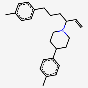 C=CC(CCCc1ccc(C)cc1)N1CCC(c2ccc(C)cc2)CC1